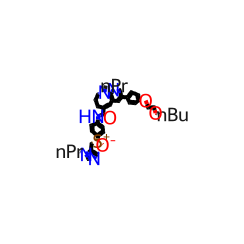 CCCCOCCOc1ccc(-c2cnc3c(c2)C=C(C(=O)Nc2ccc([S+]([O-])Cc4cncn4CCC)cc2)CCCN3CCC)cc1